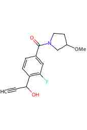 C#CC(O)c1ccc(C(=O)N2CCC(OC)C2)cc1F